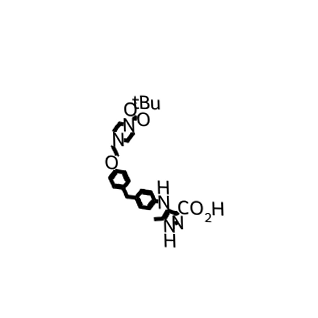 Cc1[nH]nc(C(=O)O)c1Nc1ccc(Cc2ccc(OCCN3CCN(C(=O)OC(C)(C)C)CC3)cc2)cc1